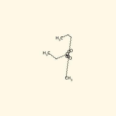 CCCCC/C=C\C/C=C\CCCCCCCCCC(=O)OC[C@@H](COC(=O)CCCCCCCCCCCCCCCC)OC(=O)CCCCCCC/C=C\CCCCCCC